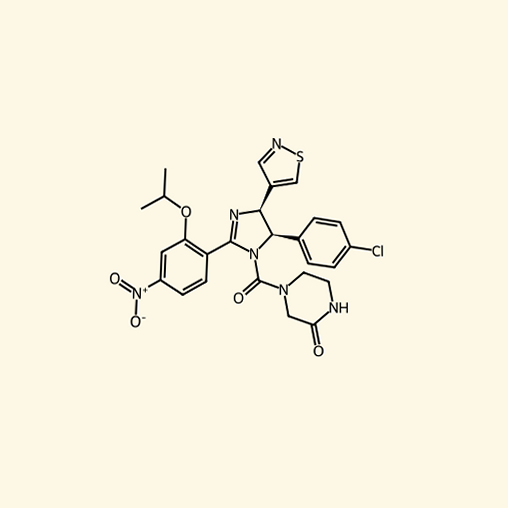 CC(C)Oc1cc([N+](=O)[O-])ccc1C1=N[C@@H](c2cnsc2)[C@@H](c2ccc(Cl)cc2)N1C(=O)N1CCNC(=O)C1